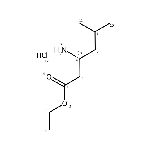 CCOC(=O)C[C@H](N)CC(C)C.Cl